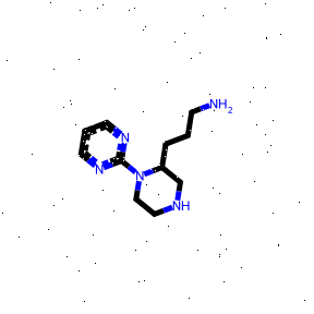 NCCCC1CNCCN1c1ncccn1